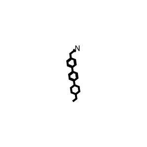 CCC1CCC(c2ccc(-c3ccc(CC#N)cc3)cc2)CC1